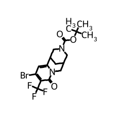 CC(C)(C)OC(=O)N1CC2CC(C1)c1cc(Br)c(C(F)(F)F)c(=O)n1C2